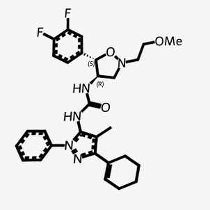 COCCN1C[C@@H](NC(=O)Nc2c(C)c(C3=CCCCC3)nn2-c2ccccc2)[C@H](c2ccc(F)c(F)c2)O1